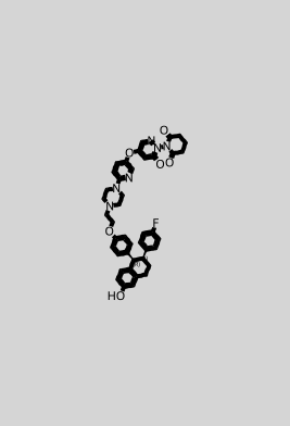 O=C1CCCC(=O)N1n1ncc(Oc2ccc(N3CCN(CCOc4ccc([C@@H]5c6ccc(O)cc6CC[C@@H]5c5ccc(F)cc5)cc4)CC3)nc2)cc1=O